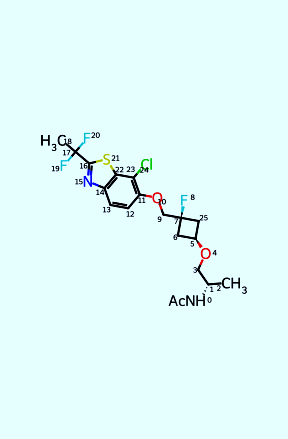 CC(=O)N[C@@H](C)CO[C@H]1C[C@](F)(COc2ccc3nc(C(C)(F)F)sc3c2Cl)C1